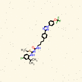 CCS/C(=N\C(=O)NCCCCc1ccc(-c2ncn(-c3ccc(OC(F)(F)F)cc3)n2)cc1)Nc1ccc(F)cc1C(C)C